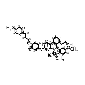 C=CCc1cccc(C)c1C(c1cc(OC)ccc1OC)N(C(=O)O)c1ccnc(Nc2ccc(OCCCN3CCN(C)CC3)c(F)c2)n1